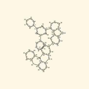 c1ccc(-c2nc(-c3ccccc3)nc(-c3cccc4oc5ccc(-c6ccc7c(c6)Sc6cccc8c6N7c6ccccc6C8)cc5c34)n2)cc1